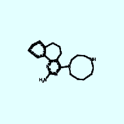 Nc1nc2c(c(N3CCCCCNCCC3)n1)CCCc1ccccc1-2